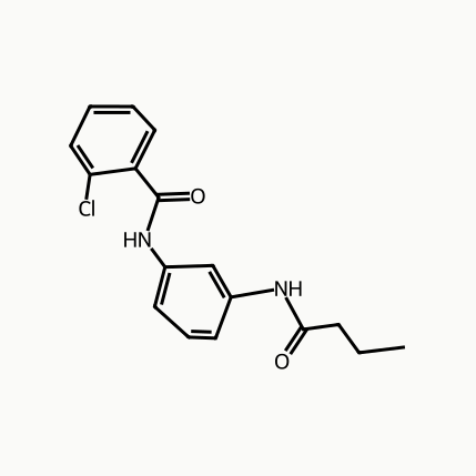 CCCC(=O)Nc1cccc(NC(=O)c2ccccc2Cl)c1